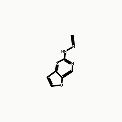 C=NNc1ncc2occc2n1